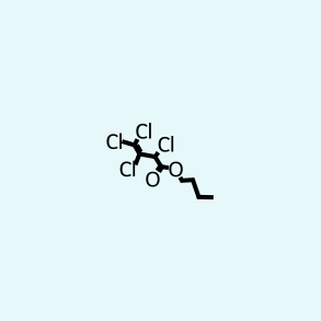 CCCCOC(=O)C(Cl)C(Cl)=C(Cl)Cl